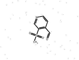 CS(=O)(=O)c1cnccc1C=O